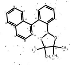 CC1(C)OB(c2ccccc2-c2nccc3ccccc23)OC1(C)C